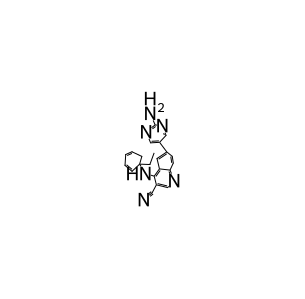 CCC1(Nc2c(C#N)cnc3ccc(-c4cnc(N)nc4)cc23)C=CC=CC1